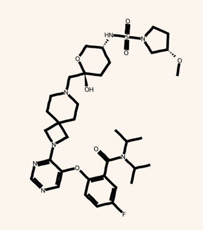 CO[C@H]1CCN(S(=O)(=O)N[C@@H]2CC[C@](O)(CN3CCC4(CC3)CN(c3ncncc3Oc3ccc(F)cc3C(=O)N(C(C)C)C(C)C)C4)OC2)C1